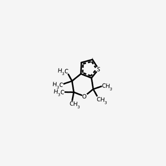 CC1(C)OC(C)(C)C(C)(C)c2c[c]sc21